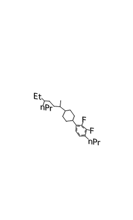 CCCc1ccc(C2CCC(C(C)CCC(CC)CCC)CC2)c(F)c1F